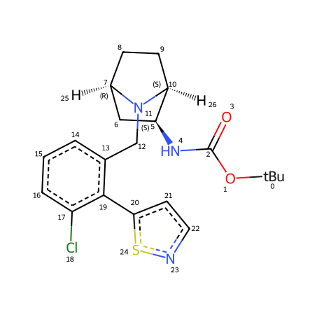 CC(C)(C)OC(=O)N[C@H]1C[C@H]2CC[C@@H]1N2Cc1cccc(Cl)c1-c1ccns1